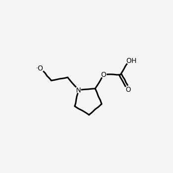 [O]CCN1CCCC1OC(=O)O